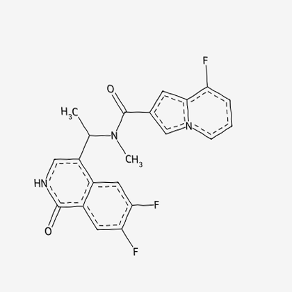 CC(c1c[nH]c(=O)c2cc(F)c(F)cc12)N(C)C(=O)c1cc2c(F)cccn2c1